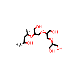 CCC(CC(C)O)OC(CO)COC(CO)COC(CO)CO